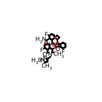 Cc1cc(Cn2c(C)c(C(=O)N[C@H](c3cccc(F)c3)C3CCC3)c3c([C@@H](c4cccc(F)c4C(N)=O)C4CCC4)ccc(F)c3c2=O)nn1C